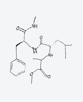 CNC(=O)[C@H](Cc1ccccc1)NC(=O)[C@H](CC(C)C)NC(C)C(=O)OC